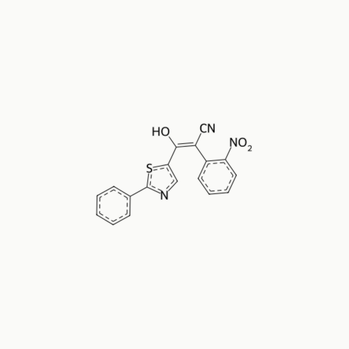 N#CC(=C(O)c1cnc(-c2ccccc2)s1)c1ccccc1[N+](=O)[O-]